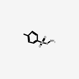 Cc1ccc(S(=O)(=O)[N]N)cc1